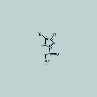 CC(=O)CC(=O)c1cc(Cl)c(Br)s1